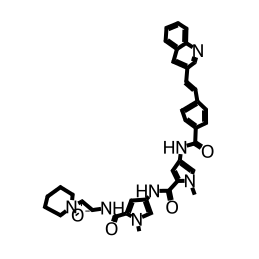 Cn1cc(NC(=O)c2cc(NC(=O)c3ccc(/C=C/c4cnc5ccccc5c4)cc3)cn2C)cc1C(=O)NCC[N+]1([O-])CCCCC1